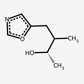 CC(Cc1cnco1)[C@H](C)O